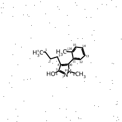 CCCCc1c(O)nn(C)c1-c1ccccc1C